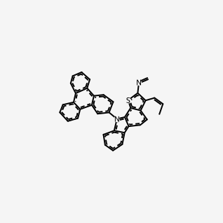 C=Nc1sc2c(ccc3c4ccccc4n(-c4ccc5c6ccccc6c6ccccc6c5c4)c32)c1/C=C\C